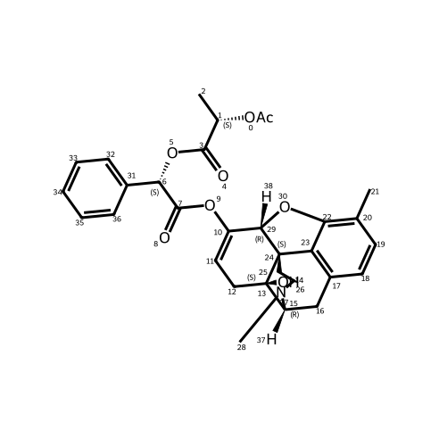 CC(=O)O[C@@H](C)C(=O)O[C@H](C(=O)OC1=CC[C@@]2(O)[C@H]3Cc4ccc(C)c5c4[C@@]2(CCN3C)[C@H]1O5)c1ccccc1